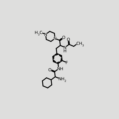 CCC(=O)NC(Cc1ccc(NC(=O)C(N)C2CCCCC2)c(F)c1)C(=O)N1CCN(C)CC1